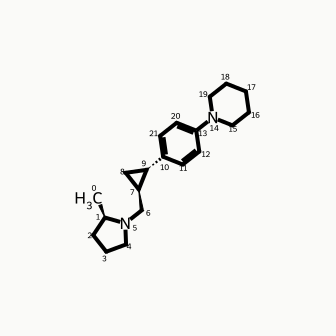 C[C@@H]1CCCN1C[C@H]1C[C@@H]1c1ccc(N2CCCCC2)cc1